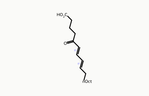 CCCCCCCCC/C=C/C=C/C(=O)CCCC(=O)O